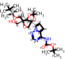 CC(C)(C)OC(=O)Nc1ncnn2c([C@]34CO[C@](CO)(CO[Si](C)(C)C(C)(C)C)[C@H]3OC(C)(C)O4)ccc12